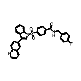 O=C(NCc1ccc(F)cc1)c1ccc(S(=O)(=O)n2cc(-c3ccc4ncccc4c3)c3ccccc32)cc1